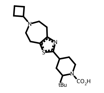 CC(C)(C)C1CC(c2nc3c(s2)CCN(C2CCC2)CC3)CCN1C(=O)O